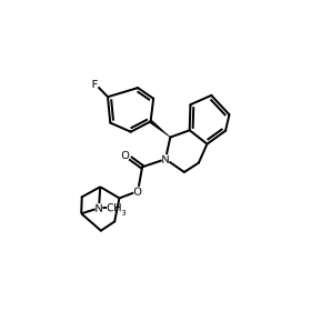 CN1C2CCC(OC(=O)N3CCc4ccccc4[C@@H]3c3ccc(F)cc3)C1C2